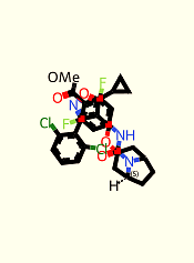 COC(=O)c1c(F)cc(NC(=O)N2C3CC[C@H]2CC(OCc2c(-c4c(Cl)cccc4Cl)noc2C2CC2)C3)cc1F